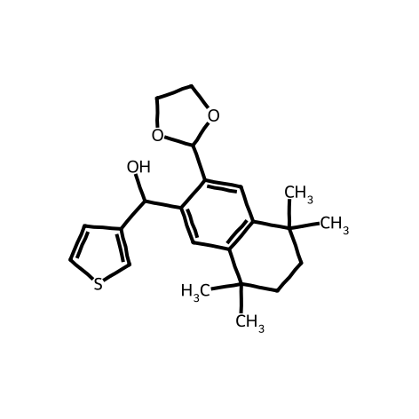 CC1(C)CCC(C)(C)c2cc(C(O)c3ccsc3)c(C3OCCO3)cc21